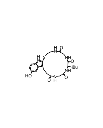 CCC(C)C1NC(=O)CNC(=O)CCc2c([nH]c3ccc(O)cc23)SCCNC(=O)CNC1=O